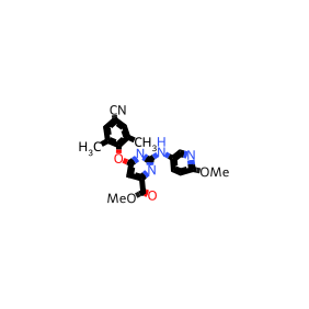 COC(=O)c1cc(Oc2c(C)cc(C#N)cc2C)nc(Nc2ccc(OC)nc2)n1